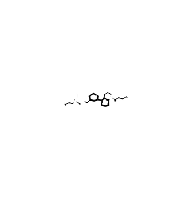 CC(C)(C)OC(=O)CCNC(=O)OCc1cccc(-c2cccc3c2CCCN3C(=O)CCCO)c1